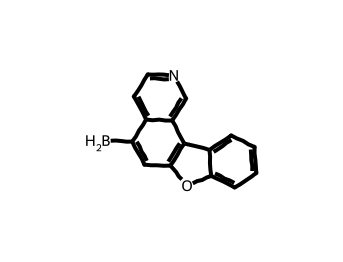 Bc1cc2oc3ccccc3c2c2cnccc12